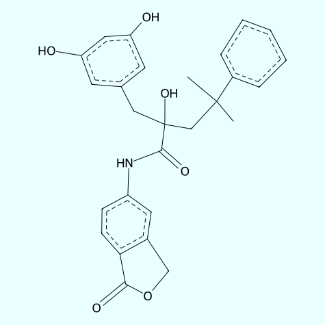 CC(C)(CC(O)(Cc1cc(O)cc(O)c1)C(=O)Nc1ccc2c(c1)COC2=O)c1ccccc1